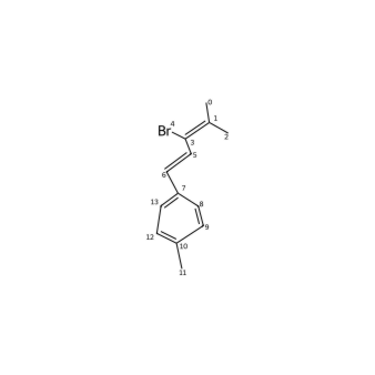 CC(C)=C(Br)C=Cc1ccc(C)cc1